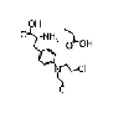 CCC(=O)O.N[C@@H](Cc1ccc(N(CCCl)CCCl)cc1)C(=O)O